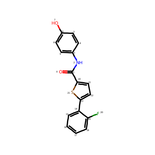 O=C(Nc1ccc(O)cc1)c1ccc(-c2ccccc2F)s1